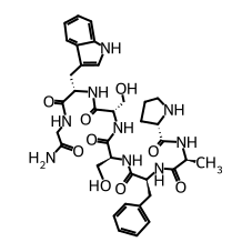 C[C@H](NC(=O)[C@@H]1CCCN1)C(=O)N[C@@H](Cc1ccccc1)C(=O)N[C@@H](CO)C(=O)N[C@@H](CO)C(=O)N[C@@H](Cc1c[nH]c2ccccc12)C(=O)NCC(N)=O